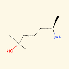 C[C@@H](N)CCCC(C)(C)O